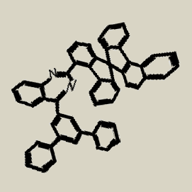 c1ccc(-c2cc(-c3ccccc3)cc(-c3nc(-c4cccc5c4-c4ccccc4C54c5ccccc5-c5c4ccc4ccccc54)nc4ccccc34)c2)cc1